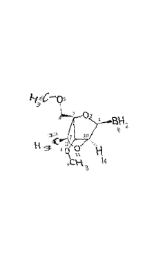 B[C@@H]1O[C@]2(COC)C(OC)[C@@H]1O[C@H]2C